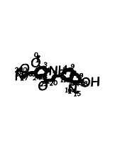 COc1cc2[nH]c(-c3ccc4c(c3)[C@H](N(C)C)[C@@H](O)C4)cc(=O)c2cc1-c1cnco1